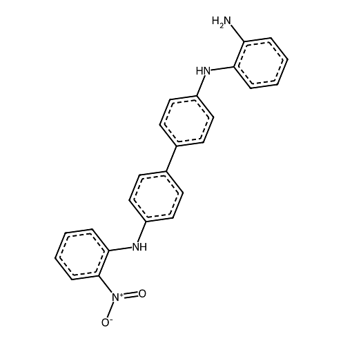 Nc1ccccc1Nc1ccc(-c2ccc(Nc3ccccc3[N+](=O)[O-])cc2)cc1